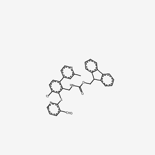 Cc1cc(-c2ccc(Cl)c(Sc3ncccc3C=O)c2CNC(=O)OCC2c3ccccc3-c3ccccc32)ccn1